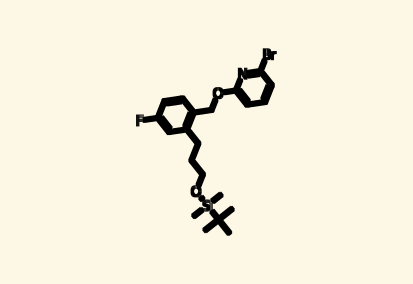 CC(C)(C)[Si](C)(C)OCCCc1cc(F)ccc1COc1cccc(Br)n1